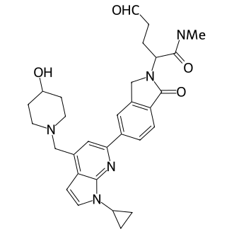 CNC(=O)C(CCC=O)N1Cc2cc(-c3cc(CN4CCC(O)CC4)c4ccn(C5CC5)c4n3)ccc2C1=O